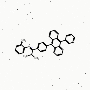 Cc1ccccc1/N=C(/c1ccc(-c2c3ccccc3c(-c3ccccc3)c3ccccc23)cc1)C(C)C